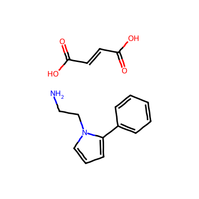 NCCn1cccc1-c1ccccc1.O=C(O)C=CC(=O)O